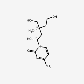 C[C@](CO)(CCO)C[C@@H](O)n1ccc(N)nc1=O